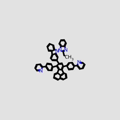 CCc1nc2ccccc2n1-n1c2ccccc2c2ccc(-c3cc(-c4ccc(-c5ccccn5)cc4)c4c(c3-c3ccc(-c5ccccn5)cc3)-c3cccc5cccc-4c35)cc21